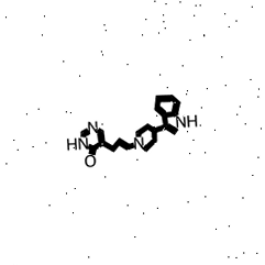 O=c1[nH]cncc1CC=CN1CCC(c2c[nH]c3ccccc23)CC1